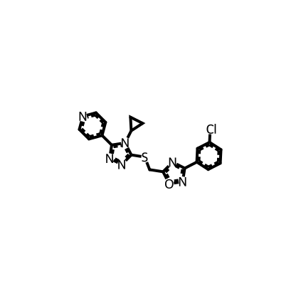 Clc1cccc(-c2noc(CSc3nnc(-c4ccncc4)n3C3CC3)n2)c1